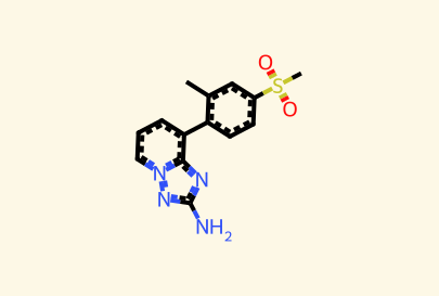 Cc1cc(S(C)(=O)=O)ccc1-c1cccn2nc(N)nc12